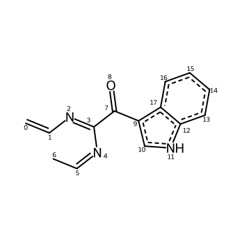 C=C/N=C(\N=C/C)C(=O)c1c[nH]c2ccccc12